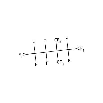 FC(F)(F)C(F)(F)C(F)(F)C(C(F)(F)F)(C(F)(F)F)C(F)(F)C(F)(F)F